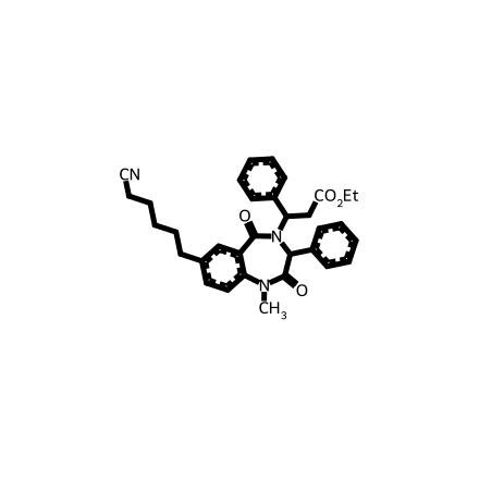 CCOC(=O)CC(c1ccccc1)N1C(=O)c2cc(CCCCCC#N)ccc2N(C)C(=O)C1c1ccccc1